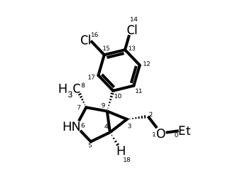 CCOC[C@@H]1[C@H]2CN[C@H](C)[C@]21c1ccc(Cl)c(Cl)c1